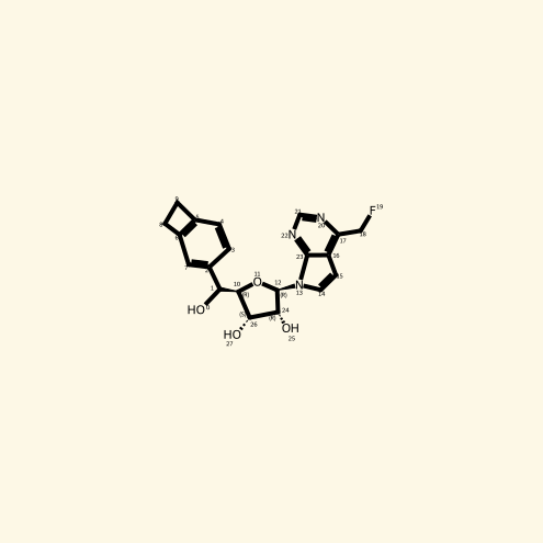 OC(c1ccc2c(c1)CC2)[C@H]1O[C@@H](n2ccc3c(CF)ncnc32)[C@H](O)[C@@H]1O